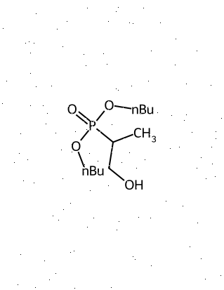 CCCCOP(=O)(OCCCC)C(C)CO